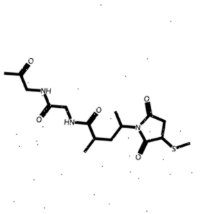 CSC1CC(=O)N(C(C)CC(C)C(=O)NCC(=O)NCC(C)=O)C1=O